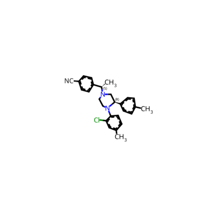 Cc1ccc([C@@H]2CN([C@@H](C)c3ccc(C#N)cc3)CCN2c2ccc(C)cc2Cl)cc1